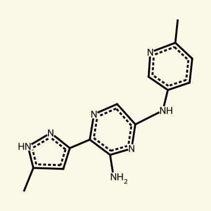 Cc1ccc(Nc2cnc(-c3cc(C)[nH]n3)c(N)n2)cn1